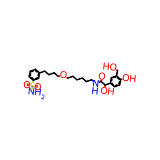 NS(=O)(=O)c1cccc(CCCCOCCCCCCNC(=O)C(O)c2ccc(O)c(CO)c2)c1